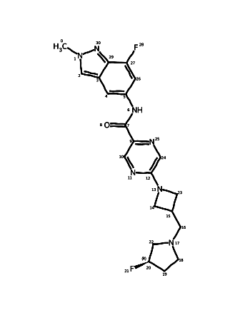 Cn1cc2cc(NC(=O)c3cnc(N4CC(CN5CC[C@@H](F)C5)C4)cn3)cc(F)c2n1